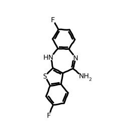 NC1=Nc2ccc(F)cc2Nc2sc3cc(F)ccc3c21